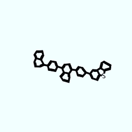 c1ccc2c(-c3ccc(-c4ccc(-c5ccc(-c6ccc7sc8ccccc8c7c6)cc5)c5ccccc45)cc3)cccc2c1